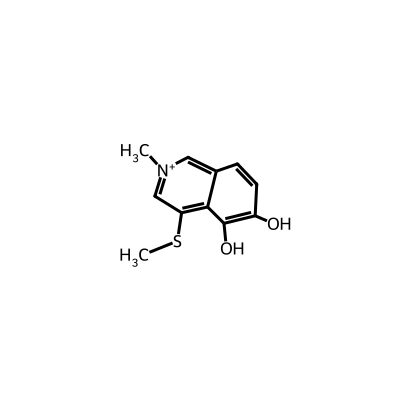 CSc1c[n+](C)cc2ccc(O)c(O)c12